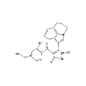 CCCCOc1ccc2c(C3=C(c4cn5c6c(cccc46)CCC5)C(=O)NC3=O)c[nH]c2c1